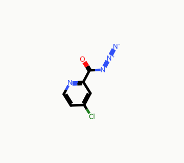 [N-]=[N+]=NC(=O)c1cc(Cl)ccn1